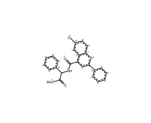 COC(=O)C(NC(=O)c1cc(-c2ccccc2)nc2ccc(Cl)cc12)c1ccccc1